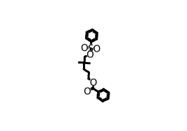 CC(C)(CCCOC(=O)c1ccccc1)COS(=O)(=O)c1ccccc1